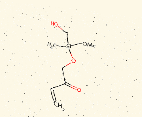 C=CC(=O)CO[Si](C)(CO)OC